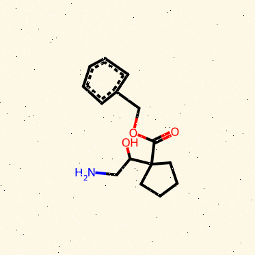 NCC(O)C1(C(=O)OCc2ccccc2)CCCC1